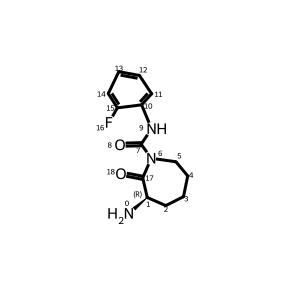 N[C@@H]1CCCCN(C(=O)Nc2ccccc2F)C1=O